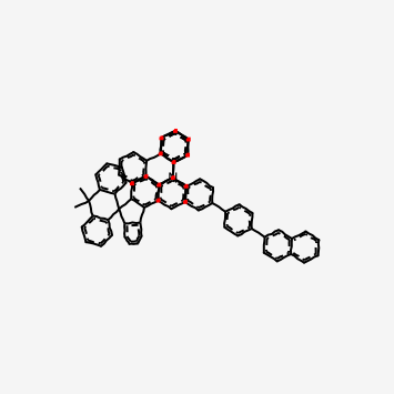 CC1(C)c2ccccc2C2(c3ccccc3-c3cc(N(c4ccc(-c5ccc(-c6ccc7ccccc7c6)cc5)cc4)c4ccccc4-c4ccccc4-c4ccccc4-c4ccccc4)ccc32)c2ccccc21